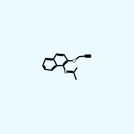 C#CCOc1ccc2ccccc2c1N=C(C)C